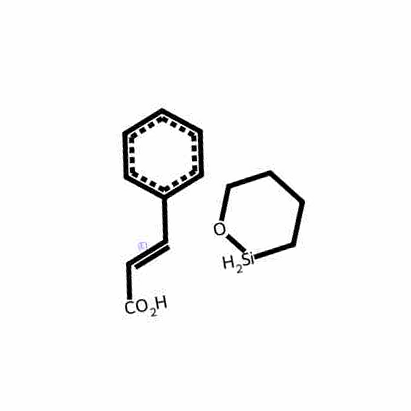 C1CC[SiH2]OC1.O=C(O)/C=C/c1ccccc1